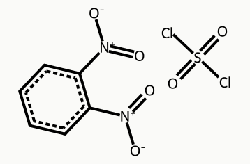 O=S(=O)(Cl)Cl.O=[N+]([O-])c1ccccc1[N+](=O)[O-]